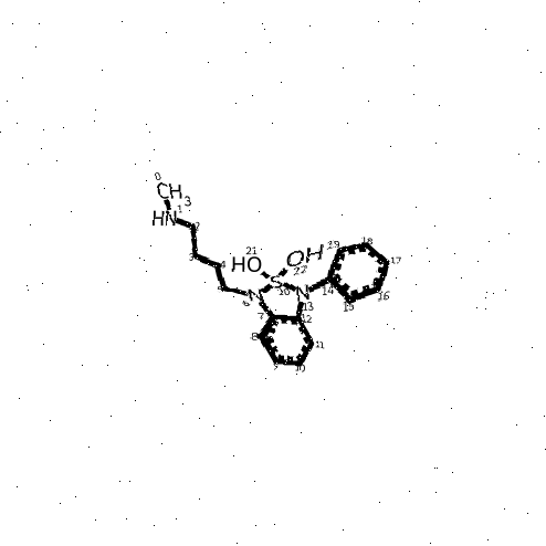 CNCCCCN1c2ccccc2N(c2ccccc2)S1(O)O